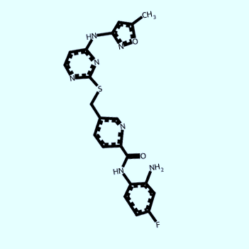 Cc1cc(Nc2ccnc(SCc3ccc(C(=O)Nc4ccc(F)cc4N)nc3)n2)no1